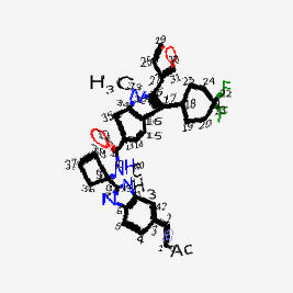 CC(=O)/C=C/c1ccc2nc(C3(NC(=O)c4ccc5c(C6CCC(F)(F)CC6)c(-c6ccoc6)n(C)c5c4)CCC3)n(C)c2c1